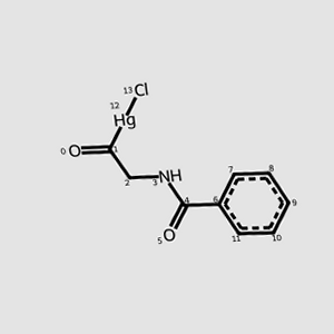 O=[C](CNC(=O)c1ccccc1)[Hg][Cl]